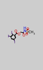 CS(=O)(=O)NC(=O)COC(=O)c1cc(I)cc(I)c1I